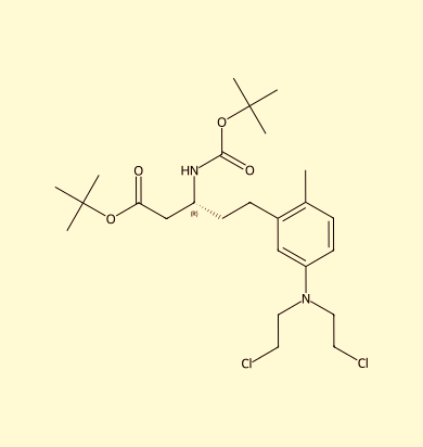 Cc1ccc(N(CCCl)CCCl)cc1CC[C@H](CC(=O)OC(C)(C)C)NC(=O)OC(C)(C)C